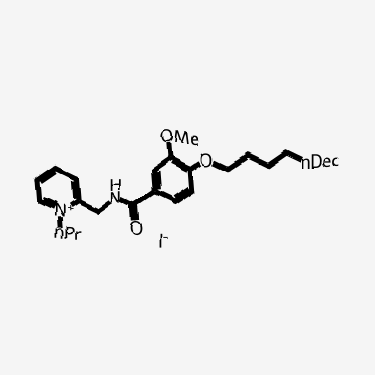 CCCCCCCCCCCCCCOc1ccc(C(=O)NCc2cccc[n+]2CCC)cc1OC.[I-]